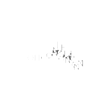 CN(c1cc(-c2nc(C(=O)Nc3cn(-c4ccc(C=O)cc4)nc3C(F)F)co2)ccn1)C1CC1